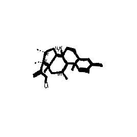 C=C1C=CC2(C)C(=C1)CCC1(N)C2[C@@H](C)CC2(C)C1C[C@@H](C)[C@]2(C)C(=C)CCl